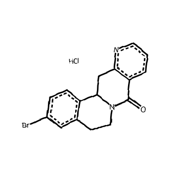 Cl.O=C1c2cccnc2CC2c3ccc(Br)cc3CCN12